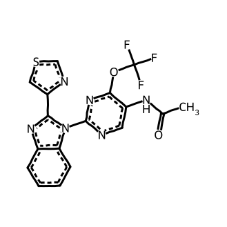 CC(=O)Nc1cnc(-n2c(-c3cscn3)nc3ccccc32)nc1OC(F)(F)F